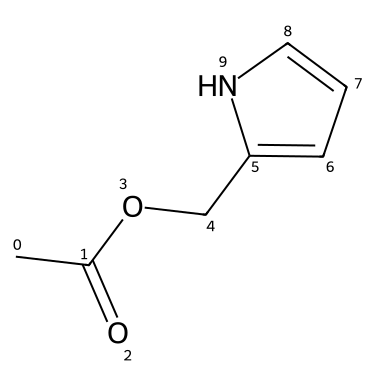 CC(=O)OCc1ccc[nH]1